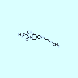 CCCCCCN1CC2(CCN(C(=O)C(C)C)CC2)C1